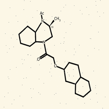 CC(=O)N1C2CCCCC2N(C(=O)COC2CCC3CCCCC3C2)C[C@@H]1C